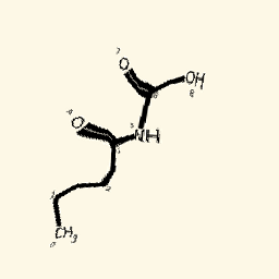 CCCC(=O)NC(=O)O